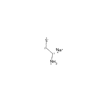 NCC[S-].[Na+]